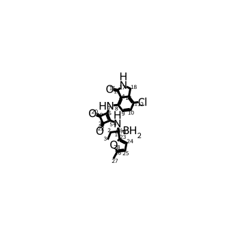 B[C@](CC)(Nc1c(Nc2ccc(Cl)c3c2C(=O)NC3)c(=O)c1=O)c1ccc(C)o1